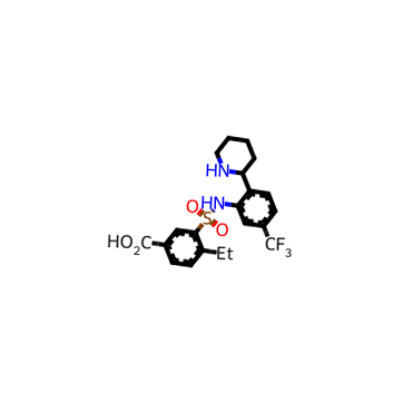 CCc1ccc(C(=O)O)cc1S(=O)(=O)Nc1cc(C(F)(F)F)ccc1C1CCCCN1